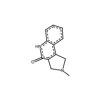 CN1Cc2c(c3ccccc3[nH]c2=O)C1